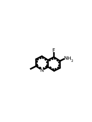 Cc1ccc2c(F)c(N)ccc2n1